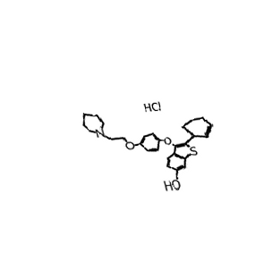 Cl.Oc1ccc2c(Oc3ccc(OCCN4CCCCC4)cc3)c(C3C=CCCC3)sc2c1